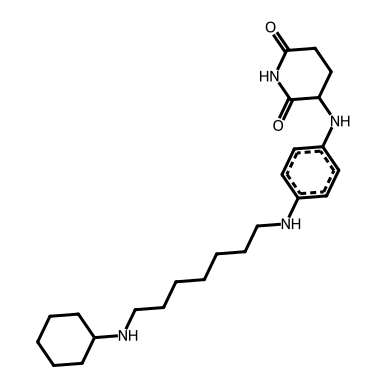 O=C1CCC(Nc2ccc(NCCCCCCCNC3CCCCC3)cc2)C(=O)N1